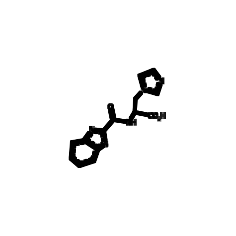 O=C(NC(Cn1ccnc1)C(=O)O)c1nc2ccccc2s1